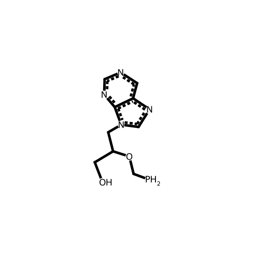 OCC(Cn1cnc2cncnc21)OCP